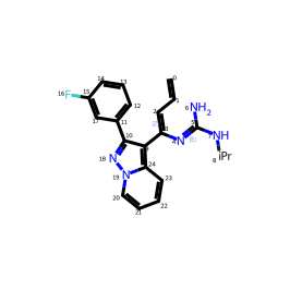 C=C/C=C(\N=C(/N)NC(C)C)c1c(-c2cccc(F)c2)nn2ccccc12